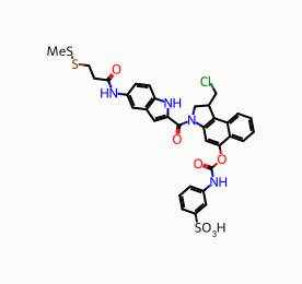 CSSCCC(=O)Nc1ccc2[nH]c(C(=O)N3CC(CCl)c4c3cc(OC(=O)Nc3cccc(S(=O)(=O)O)c3)c3ccccc43)cc2c1